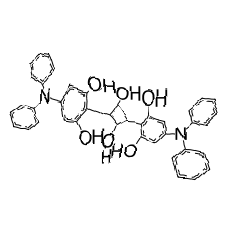 Oc1cc(N(c2ccccc2)c2ccccc2)cc(O)c1C1C(O)C(c2c(O)cc(N(c3ccccc3)c3ccccc3)cc2O)C1O